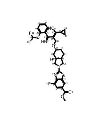 COC(=O)c1cc(F)c2nc(N3CC4CC[C@H](OC/C(C(=N)c5ccccc5OC(F)F)=C(/O)C5CC5)C[C@H]4C3)sc2c1